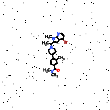 Cc1cc(C(=O)N(C)C)ccc1C1=CCN(C(C)c2cc3c(Br)ccnc3n2C)CC1